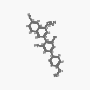 CCOc1ccc(-c2cc(F)c(-c3cc(C(=O)O)c4cc(F)ccc4n3)c(F)c2)cc1